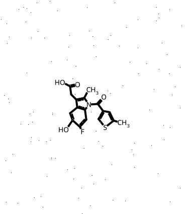 Cc1cc(C(=O)n2c(C)c(CC(=O)O)c3cc(O)c(F)cc32)cs1